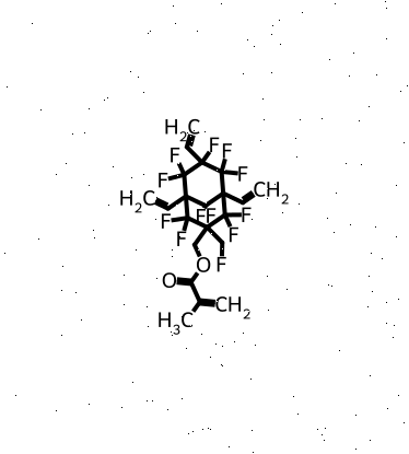 C=CC1(F)C(F)(F)C2(C=C)C(F)(F)C(CF)(COC(=O)C(=C)C)C(F)(F)C(C=C)(C1(F)F)C2(F)F